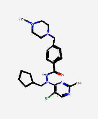 CCCN1CCN(Cc2ccc(C(=O)NN(CC3CCCC3)c3nc(C#N)ncc3Br)cc2)CC1